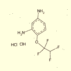 Cl.Cl.Nc1ccc(OC(F)(F)C(F)F)c(N)c1